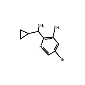 Cc1cc(Br)cnc1C(N)C1CC1